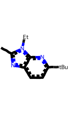 CCn1c(C)nc2ccc(C(C)(C)C)nc21